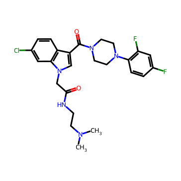 CN(C)CCNC(=O)Cn1cc(C(=O)N2CCN(c3ccc(F)cc3F)CC2)c2ccc(Cl)cc21